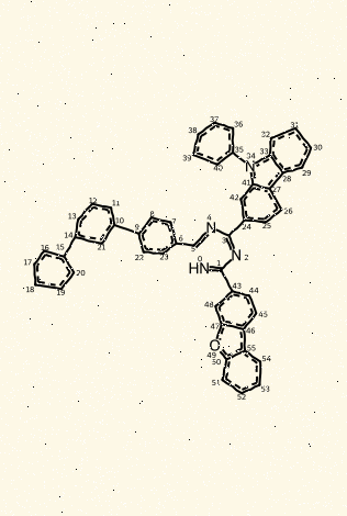 N=C(/N=C(\N=C\c1ccc(-c2cccc(-c3ccccc3)c2)cc1)c1ccc2c3ccccc3n(-c3ccccc3)c2c1)c1ccc2c(c1)oc1ccccc12